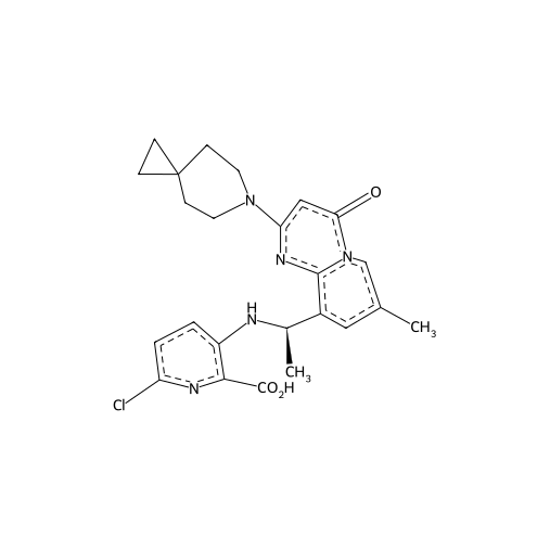 Cc1cc([C@@H](C)Nc2ccc(Cl)nc2C(=O)O)c2nc(N3CCC4(CC3)CC4)cc(=O)n2c1